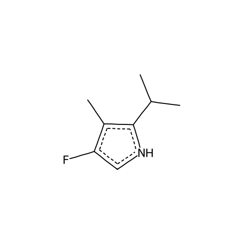 Cc1c(F)c[nH]c1C(C)C